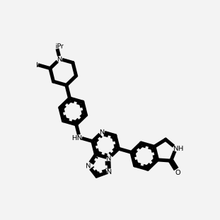 CC(C)N1CCC(c2ccc(Nc3ncc(-c4ccc5c(c4)CNC5=O)n4ncnc34)cc2)CC1I